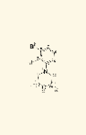 C[C@@H]1CN(c2cccc(Br)c2F)C[C@H](C)O1